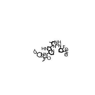 CC[C@H](C(=O)Nc1ccnc2c(-c3nc(Nc4cccc(S(C)(=O)=O)c4F)ncc3C)c[nH]c12)N1CCC(OC)CC1